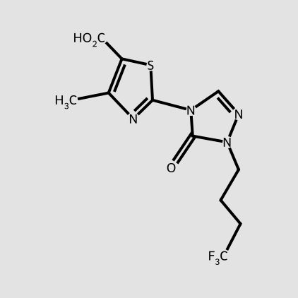 Cc1nc(-n2cnn(CCCC(F)(F)F)c2=O)sc1C(=O)O